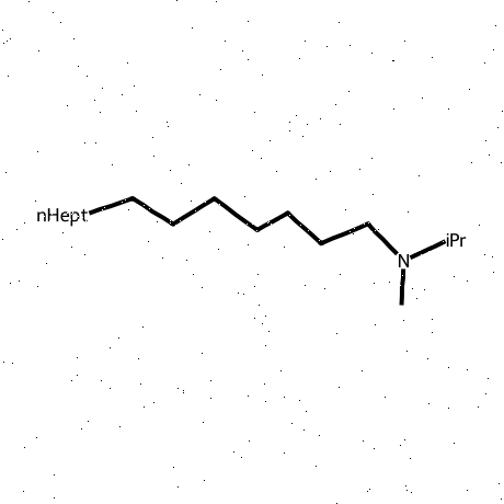 CCCCCCCCCCCCCCN(C)C(C)C